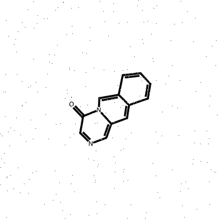 O=c1cncc2cc3ccccc3cn12